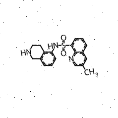 Cc1cnc2c(S(=O)(=O)Nc3cccc4c3CCNC4)cccc2c1